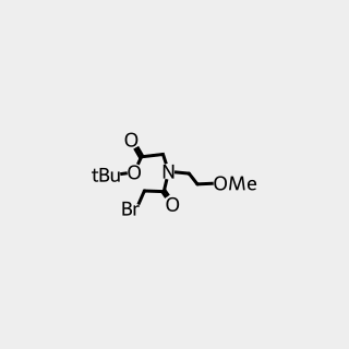 COCCN(CC(=O)OC(C)(C)C)C(=O)CBr